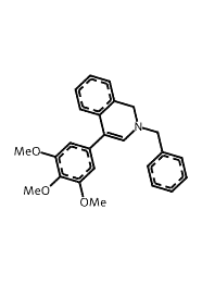 COc1cc(C2=CN(Cc3ccccc3)Cc3ccccc32)cc(OC)c1OC